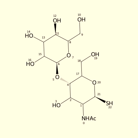 CC(=O)NC1C(O)[C@H](O[C@@H]2OC(CO)[C@H](O)C(O)C2O)C(CO)O[C@H]1S